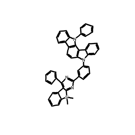 C[Si]1(C)c2ccccc2-c2c(-c3ccccc3)nc(-c3cccc(-n4c5ccccc5c5c4ccc4c6ccccc6n(-c6ccccc6)c45)c3)nc21